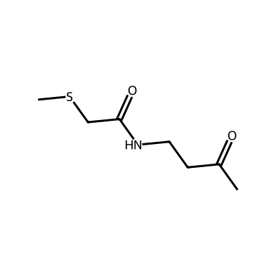 CSCC(=O)NCCC(C)=O